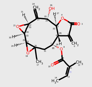 C=C1C(=O)O[C@H]2[C@H]1[C@H](OC(=O)/C(C)=C\C)CC1(C)O[C@H]1[C@H]1O[C@H]1C(=C)[C@@H]2O